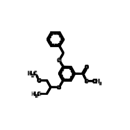 CCC(COC)Oc1cc(OCc2ccccc2)cc(C(=O)OC)c1